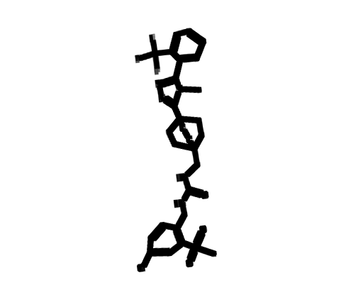 Cn1c(-c2ccccc2C(F)(F)F)nnc1C12CCC(CNC(=O)NCc3ccc(Cl)cc3S(C)(=O)=O)(CC1)CC2